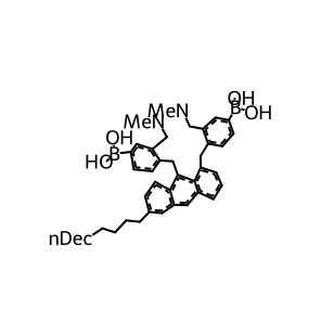 CCCCCCCCCCCCCCc1ccc2c(Cc3ccc(B(O)O)cc3CNC)c3c(Cc4ccc(B(O)O)cc4CNC)cccc3cc2c1